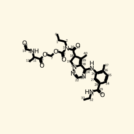 CCCN(C(=O)OCOC(=O)C(C)NC=O)C(=O)C1CN2N=CN=C(Nc3cc(C(=O)NCC)ccc3C)C2=C1C